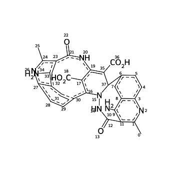 Cc1nc2ccc3cc2c(N)c1C(=O)NN1c2c(C(=O)O)c([nH]c(=O)c4c(C)nc5ccc2cc5c4N)=C(C(=O)O)C31